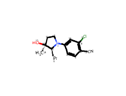 CC(C)[C@@H]1N(c2ccc(C#N)c(Cl)c2)CC[C@]1(C)O